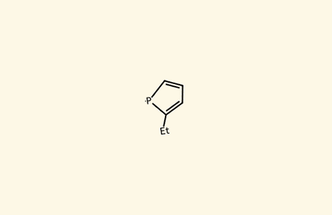 CCC1=CC=C[P]1